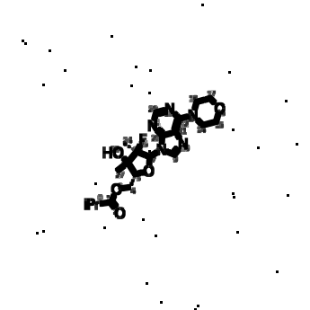 CC(C)C(=O)OC[C@H]1OC(n2cnc3c(N4CCOCC4)ncnc32)[C@](C)(F)C1(C)O